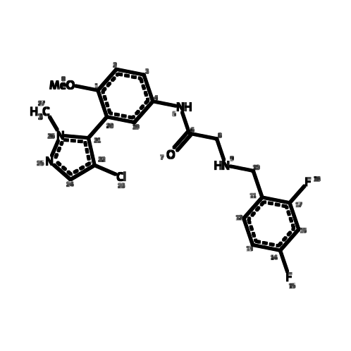 COc1ccc(NC(=O)CNCc2ccc(F)cc2F)cc1-c1c(Cl)cnn1C